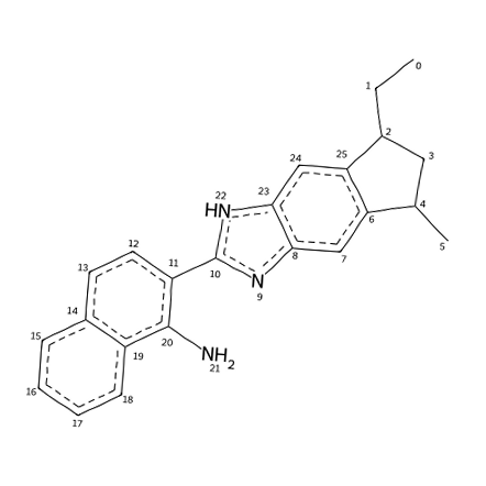 CCC1CC(C)c2cc3nc(-c4ccc5ccccc5c4N)[nH]c3cc21